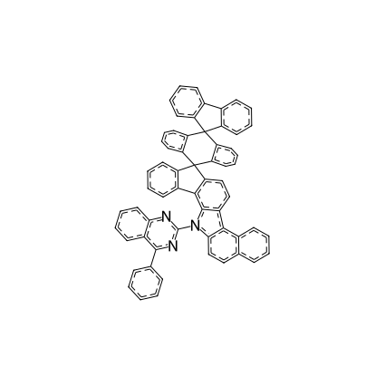 c1ccc(-c2nc(-n3c4ccc5ccccc5c4c4ccc5c(c43)-c3ccccc3C53c4ccccc4C4(c5ccccc5-c5ccccc54)c4ccccc43)nc3ccccc23)cc1